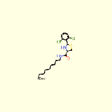 CCCCCCCCCCCCCCCCCCNC(=O)[C@@H]1CSC(c2c(Cl)cccc2Cl)N1